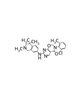 Cc1cccc(Cl)c1N1COc2nc(Nc3ccc4c(c3)CN(C)CC4(C)C)ncc2C1=O